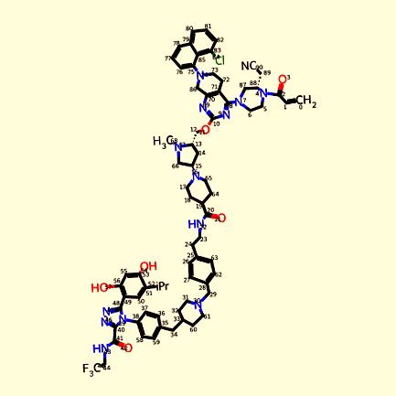 C=CC(=O)N1CCN(c2nc(OC[C@@H]3C[C@H](N4CCC(C(=O)NCCc5ccc(CN6CCC(Cc7ccc(-n8c(C(=O)NCC(F)(F)F)nnc8-c8cc(C(C)C)c(O)cc8O)cc7)CC6)cc5)CC4)CN3C)nc3c2CCN(c2cccc4cccc(Cl)c24)C3)C[C@@H]1CC#N